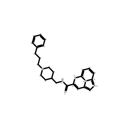 O=C(NCC1CCN(CCCc2ccccc2)CC1)C1=Cc2cnc3cccc(n23)S1